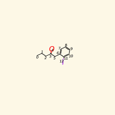 CCCC(=O)Cc1ccccc1I